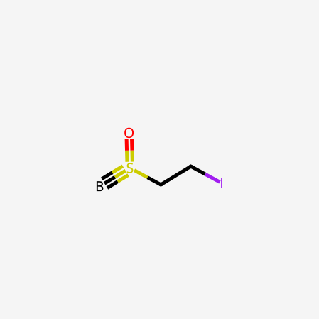 B#S(=O)CCI